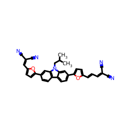 CC(C)Cn1c2cc(-c3ccc(C=C(C#N)C#N)o3)ccc2c2ccc(-c3ccc(/C=C/C=C(C#N)C#N)o3)cc21